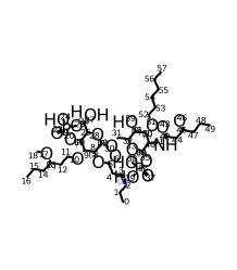 CC/C=C\CC(=O)O[C@H]1C(OCC[C@@H](CCC)OC)[C@H](OP(=O)(O)O)C(CO)O[C@H]1OCC1O[C@H](OP(=O)(O)O)C(NC(=O)CC(=O)CCC)[C@@H](OCCCCCC)[C@@H]1O